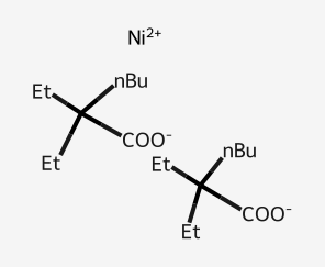 CCCCC(CC)(CC)C(=O)[O-].CCCCC(CC)(CC)C(=O)[O-].[Ni+2]